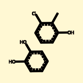 Cc1c(O)cccc1Cl.Oc1ccccc1O